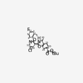 Cc1cc(F)ccc1Oc1ncc(Cl)cc1C(=O)N[C@@H](C)c1ccc(C(=O)OC(C)(C)C)cc1